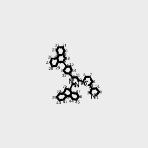 c1cncc(-c2cccc(-c3cc(-c4ccc(-c5cc6ccccc6c6ccccc56)cc4)nc(-c4cc5ccccc5c5ccccc45)n3)c2)c1